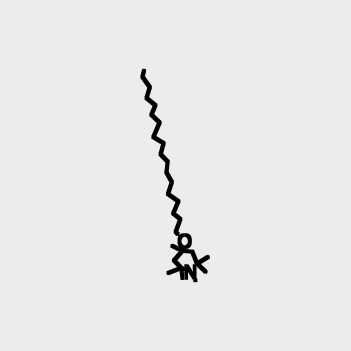 CCCCCCCCCCCCCCCCCCOC1(C)CC(C)(C)N(C)C(C)(C)C1